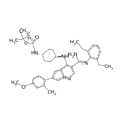 CCc1cccc(CC)c1/N=C(\N)c1cnn2cc(-c3ccc(OC)cc3C)cc2c1N[C@H]1CC[C@H](NC(=O)OC(C)(C)C)CC1